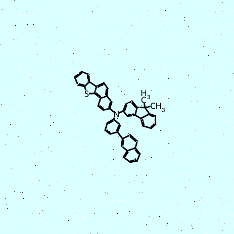 CC1(C)c2ccccc2-c2cc(N(c3cccc(-c4ccc5ccccc5c4)c3)c3ccc4c(ccc5c6ccccc6sc45)c3)ccc21